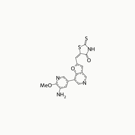 COc1ncc(-c2cncc3cc(/C=C4/SC(=S)NC4=O)oc23)cc1N